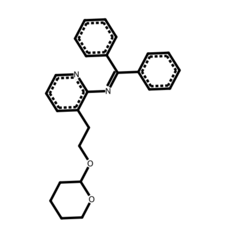 c1ccc(C(=Nc2ncccc2CCOC2CCCCO2)c2ccccc2)cc1